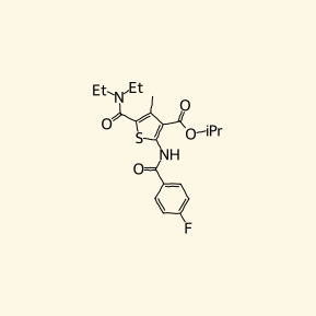 CCN(CC)C(=O)c1sc(NC(=O)c2ccc(F)cc2)c(C(=O)OC(C)C)c1C